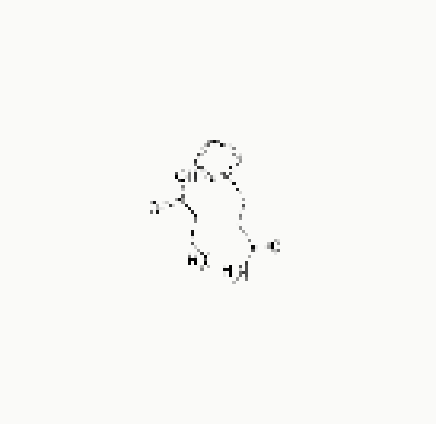 CCCC(=O)O.NC(=O)CCc1ccccc1